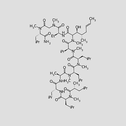 C/C=C/C[C@H](C)[C@H](O)C(C(=O)N[C@@H](CC)C(=O)N(C)CC(=O)N(C)[C@@H](CC(C)C)C(N)=O)N(C)C(=O)[C@H](C(C)C)N(C)C(=O)[C@@H](CC(C)C)N(C)C(=O)[C@@H](CC(C)C)N(C)C(=O)[C@H](C)NC(=O)[C@@H](CC(C)C)NC(=O)[C@H](CC(C)C)N(C)C(=O)[C@H](C)CC(C)C